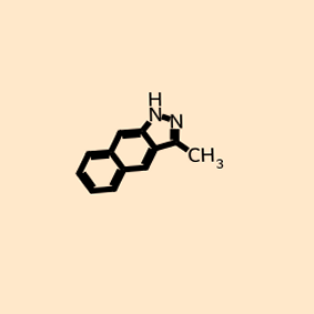 Cc1n[nH]c2cc3ccccc3cc12